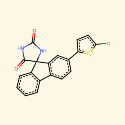 O=C1NC(=O)C2(N1)c1ccccc1-c1ccc(-c3ccc(Cl)s3)cc12